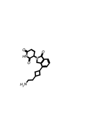 NCCC1CC(c2cccc3c2CN(C2CCC(=O)NC2=O)C3=O)C1